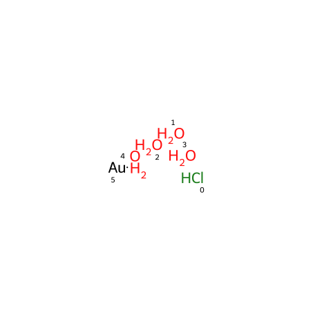 Cl.O.O.O.O.[Au]